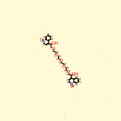 [O-][n+]1ccc(C(O)COCCOCCOCCOCCOCC(O)c2cc[n+]([O-])c3ccccc23)c2ccccc21